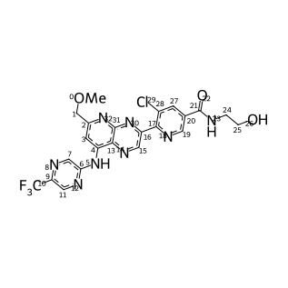 COCc1cc(Nc2cnc(C(F)(F)F)cn2)c2ncc(-c3ncc(C(=O)NCCO)cc3Cl)nc2n1